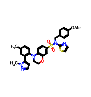 COc1ccc(CN(c2nccs2)S(=O)(=O)c2ccc3c(c2)OCCN3c2ccc(C(F)(F)F)cc2-c2ccnn2C)cc1